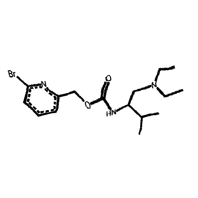 CCN(CC)CC(NC(=O)OCc1cccc(Br)n1)C(C)C